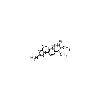 CCN(CC)C(C)N(C)c1ccc(-n2nc(N)nc2N)cn1